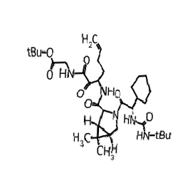 C=CCCC(NC(=O)[C@@H]1[C@@H]2[C@H](CN1C(=O)[C@@H](NC(=O)NC(C)(C)C)C1CCCCC1)C2(C)C)C(=O)C(=O)NCC(=O)OC(C)(C)C